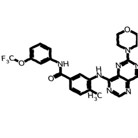 Cc1ccc(C(=O)Nc2cccc(OC(F)(F)F)c2)cc1Nc1ncnc2cnc(N3CCOCC3)nc12